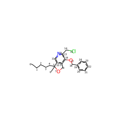 CCCCCC1(C)OCc2c1cnc(CCl)c2OCc1ccccc1